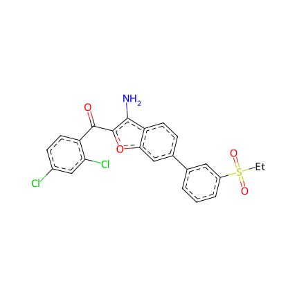 CCS(=O)(=O)c1cccc(-c2ccc3c(N)c(C(=O)c4ccc(Cl)cc4Cl)oc3c2)c1